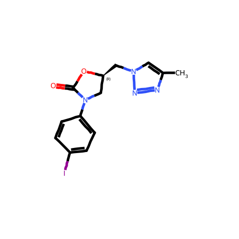 Cc1cn(C[C@H]2CN(c3ccc(I)cc3)C(=O)O2)nn1